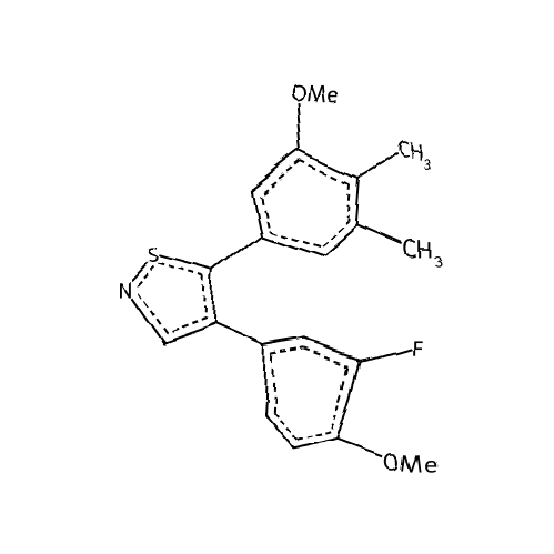 COc1ccc(-c2cnsc2-c2cc(C)c(C)c(OC)c2)cc1F